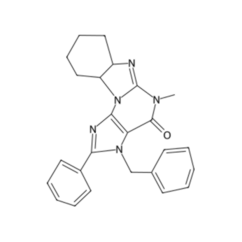 CN1C(=O)c2c(nc(-c3ccccc3)n2Cc2ccccc2)N2C1=NC1CCCCC12